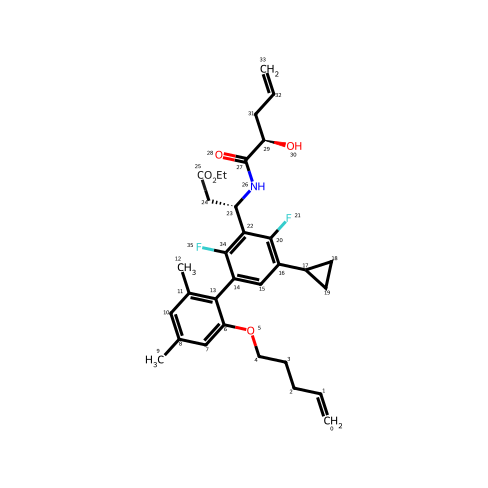 C=CCCCOc1cc(C)cc(C)c1-c1cc(C2CC2)c(F)c([C@H](CC(=O)OCC)NC(=O)[C@H](O)CC=C)c1F